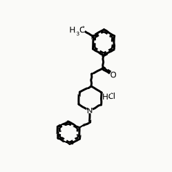 Cc1cccc(C(=O)CC2CCN(Cc3ccccc3)CC2)c1.Cl